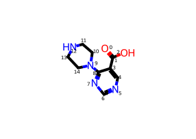 O=C(O)c1cn[c]nc1N1CCNCC1